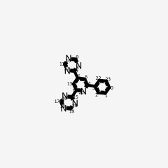 c1ccc(-c2cc(-c3ncncn3)cc(-c3ncncn3)n2)cc1